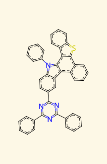 c1ccc(-c2nc(-c3ccccc3)nc(-c3ccc4c(c3)c3c5ccccc5c5sc6ccccc6c5c3n4-c3ccccc3)n2)cc1